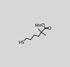 COC(=O)C(C)(C)CCCCS